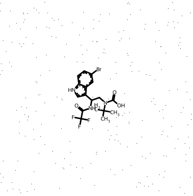 CC(C)(C)N(CC(NC(=O)C(F)(F)F)c1c[nH]c2ccc(Br)cc12)C(=O)O